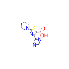 O=C(O)c1sc(N2CCCCC2)nc1-c1cnccn1